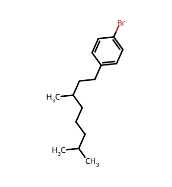 CC(C)CCCC(C)CCc1ccc(Br)cc1